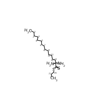 CCCCCCCCCCCCCCC(N)(N)C(=S)SCCC